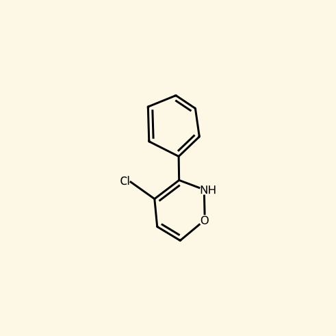 ClC1=C(c2ccccc2)NOC=C1